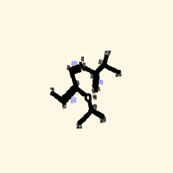 C\C=C(/N=C\C(=C/C)OC(C)C)C(C)C